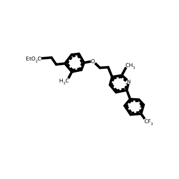 CCOC(=O)CCc1ccc(OCCc2ccc(-c3ccc(C(F)(F)F)cc3)nc2C)cc1C